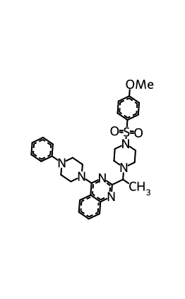 COc1ccc(S(=O)(=O)N2CCN(C(C)c3nc(N4CCN(c5ccccc5)CC4)c4ccccc4n3)CC2)cc1